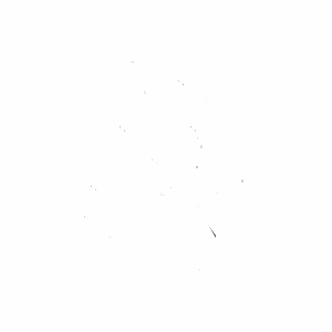 OC[C@H]1O[C@@](C2CNCCO2)(n2cnc3c(O)ncnc32)[C@H](O)[C@@H]1O